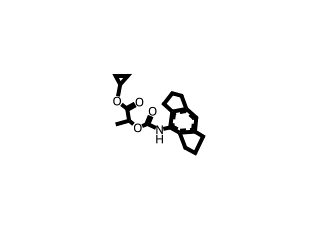 CC(OC(=O)Nc1c2c(cc3c1CCC3)CCC2)C(=O)OC1CC1